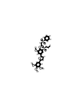 CCCS(=O)(=O)c1cc(C2CCC(c3cc(OC)c(OC)c(OC)c3)O2)cc(OC)c1OCCS(=O)(=O)c1ccccc1